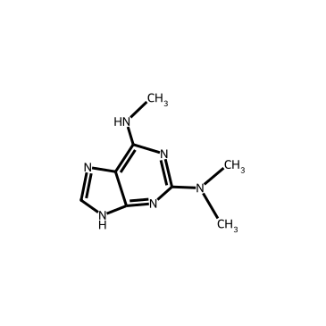 CNc1nc(N(C)C)nc2[nH]cnc12